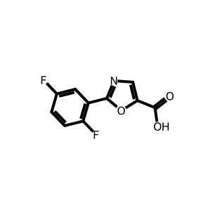 O=C(O)c1cnc(-c2cc(F)ccc2F)o1